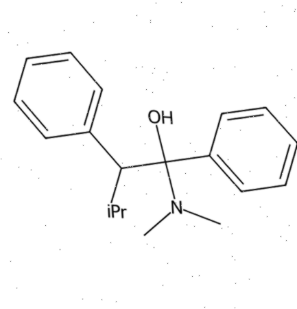 CC(C)C(c1ccccc1)C(O)(c1ccccc1)N(C)C